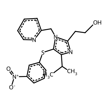 CC(C)c1nc(CCO)n(Cc2ccccn2)c1Sc1cccc([N+](=O)[O-])c1